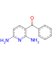 Nc1ccc(C(=O)c2ccccc2)c(N)n1